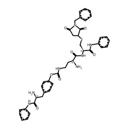 N[C@@H](Cc1ccc(OC(=O)NCC[C@H](N)C(=O)N[C@@H](CSC2CC(=O)N(Cc3ccccc3)C2=O)C(=O)Nc2ccccc2)cc1)C(=O)Nc1ccccc1